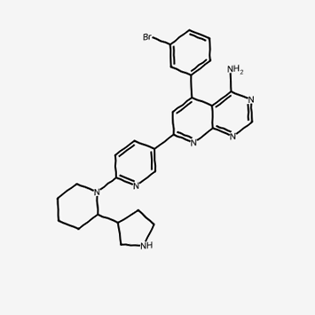 Nc1ncnc2nc(-c3ccc(N4CCCCC4C4CCNC4)nc3)cc(-c3cccc(Br)c3)c12